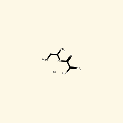 C=C(C)C(=O)NC(C)CNC.Cl